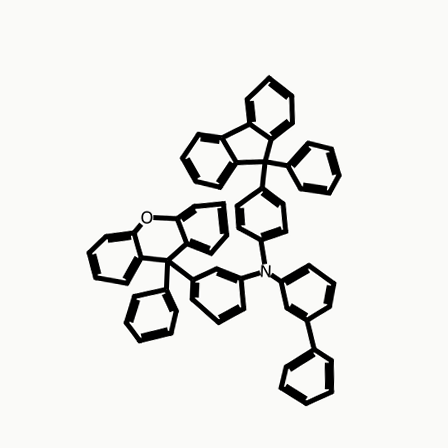 c1ccc(-c2cccc(N(c3ccc(C4(c5ccccc5)c5ccccc5-c5ccccc54)cc3)c3cccc(C4(c5ccccc5)c5ccccc5Oc5ccccc54)c3)c2)cc1